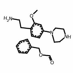 COc1cc(N2CCNCC2)ccc1CCN.O=COCc1ccccc1